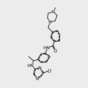 CC(Nc1cncc(Cl)n1)c1cccc(NC(=O)c2cccc(CN3CCN(C)CC3)c2)c1